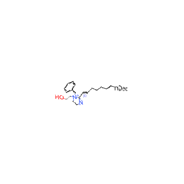 CCCCCCCCCCCCCCC/C=C/C1=NCC[N+]1(CCO)Cc1ccccc1